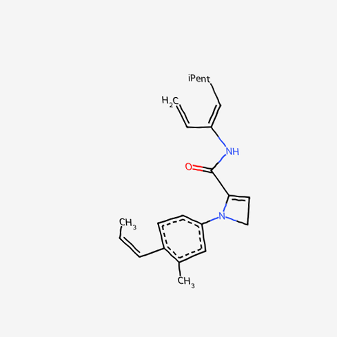 C=C/C(=C\C(C)CCC)NC(=O)C1=CCN1c1ccc(/C=C\C)c(C)c1